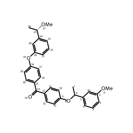 COc1cccc(C(C)Oc2ccc(C(=O)c3ccc(Oc4cccc([C@H](C)OC)c4)cc3)cc2)c1